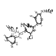 COc1ccc(-c2nc(Cl)c(C(Cc3ccccc3)C(=O)O)[nH]2)cc1